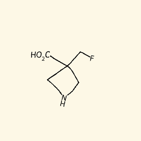 O=C(O)C1(CF)CNC1